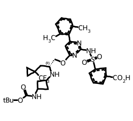 Cc1cccc(C)c1-c1cc(OC[C@@H](CC2(C(F)(F)F)CC2)NC2CC(NC(=O)OC(C)(C)C)C2)nc(NS(=O)(=O)c2cccc(C(=O)O)c2)n1